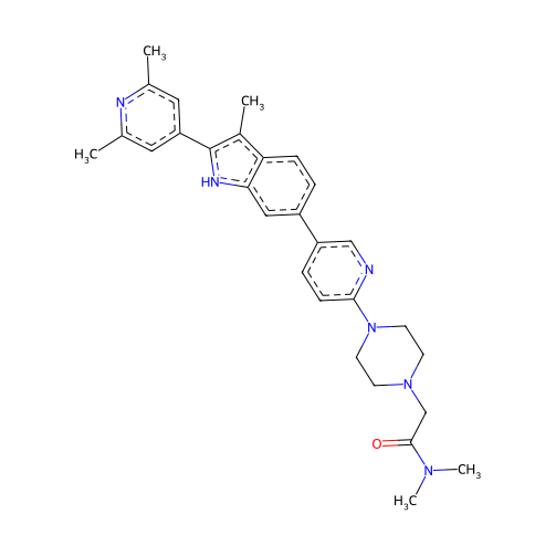 Cc1cc(-c2[nH]c3cc(-c4ccc(N5CCN(CC(=O)N(C)C)CC5)nc4)ccc3c2C)cc(C)n1